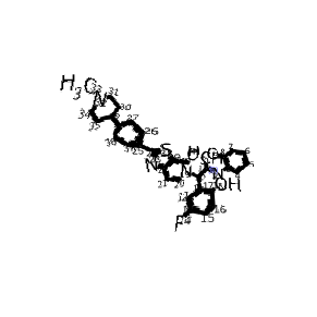 C/C(=N\c1ccccc1C)C(c1cc(F)ccc1O)n1ccc2nc(-c3ccc(C4CCN(C)CC4)cc3)sc2c1=O